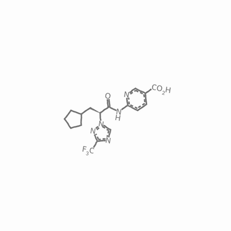 O=C(O)c1ccc(NC(=O)[C@H](CC2CCCC2)n2cnc(C(F)(F)F)n2)nc1